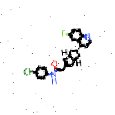 O=C(CC1=C[C@H]2C[C@@H](c3ccnc4ccc(F)cc34)C[C@H]2C1)Nc1ccc(Cl)cc1